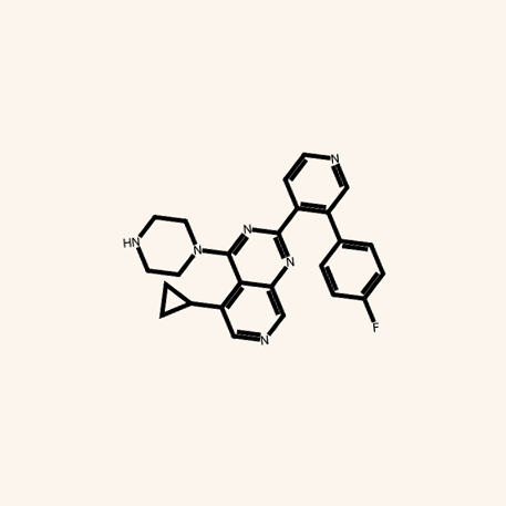 Fc1ccc(-c2cnccc2-c2nc(N3CCNCC3)c3c(C4CC4)cncc3n2)cc1